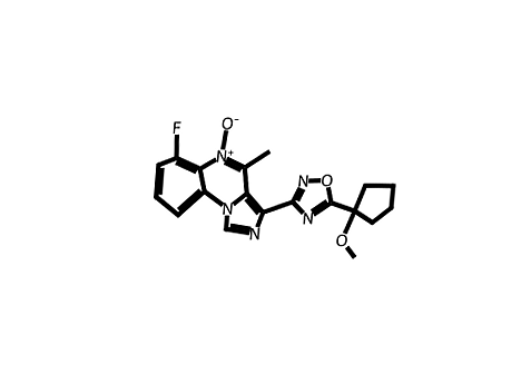 COC1(c2nc(-c3ncn4c3c(C)[n+]([O-])c3c(F)cccc34)no2)CCCC1